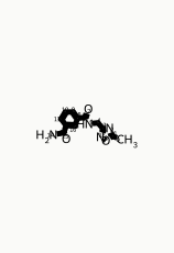 Cc1nc(CNC(=O)c2cccc(C(N)=O)c2)no1